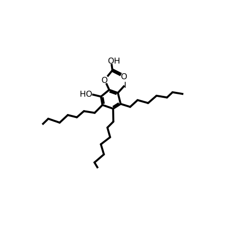 CCCCCCCc1c(O)c(OC(=O)O)c(I)c(CCCCCCC)c1CCCCCCC